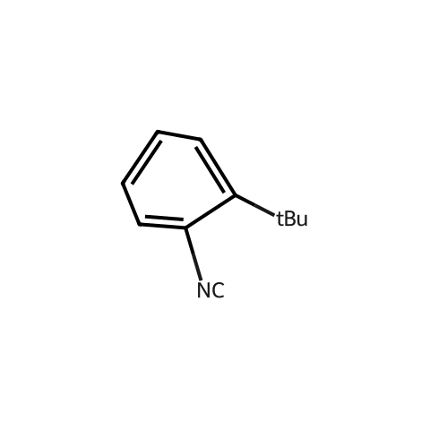 [C-]#[N+]c1ccccc1C(C)(C)C